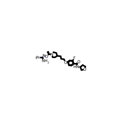 C=C(O/N=C(\N)C(C)C)N1CCC(CCCOc2ccc(C(=O)N[C@@H]3CCOC3)c(F)c2)CC1